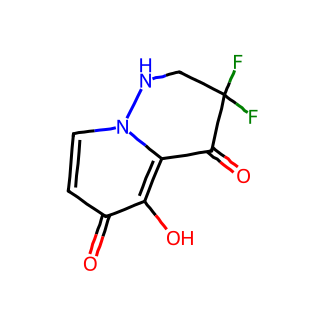 O=C1c2c(O)c(=O)ccn2NCC1(F)F